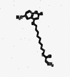 C=CC(=O)SCCCCCCCCCOc1cc(=S)oc2ccc(C)cc12